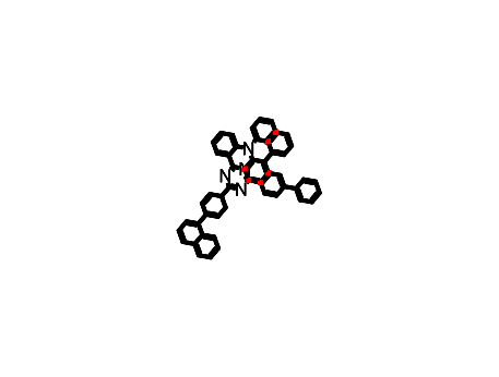 C1=CC(c2nc(-c3ccc(-c4ccccc4)cc3)nc(-c3ccccc3N(c3ccccc3)c3ccccc3-c3ccccc3)n2)CC=C1c1cccc2ccccc12